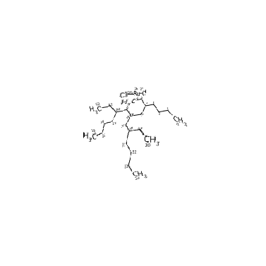 CCCCC(CC)CP(CC(CC)CCCC)CC(CC)CCCC.[Cl][Ru][Cl]